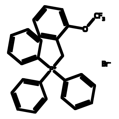 FC(F)(F)Oc1ccccc1C[P+](c1ccccc1)(c1ccccc1)c1ccccc1.[Br-]